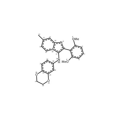 COc1cccc(OC)c1-c1nc2cc(C)ccn2c1Nc1ccc2c(c1)OCCO2